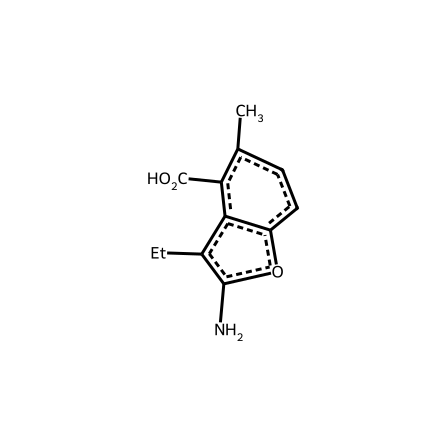 CCc1c(N)oc2ccc(C)c(C(=O)O)c12